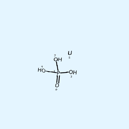 O=P(O)(O)O.[U]